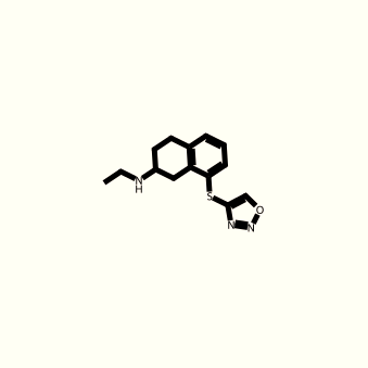 CCNC1CCc2cccc(Sc3conn3)c2C1